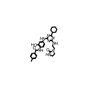 Cc1ccc(C(=O)Nc2ccc(Nc3nc(NCCN4CCNC4=O)nc(C4CCCCC4)n3)cc2O)cc1